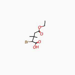 CCOC(=O)CC(C)(C)C(Br)C(=O)O